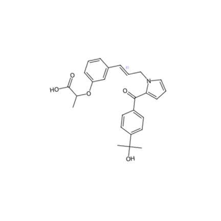 CC(Oc1cccc(/C=C/Cn2cccc2C(=O)c2ccc(C(C)(C)O)cc2)c1)C(=O)O